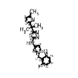 Cc1csc(C(C)(C)c2nnc(Nc3ccn(Cc4c(F)cccc4Cl)n3)s2)n1